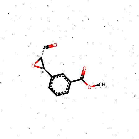 COC(=O)c1cccc([C@H]2O[C@@H]2C=O)c1